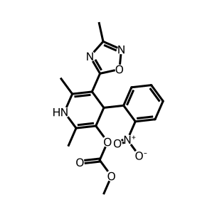 COC(=O)OC1=C(C)NC(C)=C(c2nc(C)no2)C1c1ccccc1[N+](=O)[O-]